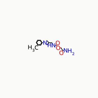 Cc1cccc(N2CC(CNC(=O)OCC(N)=O)C2)c1